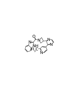 Cc1cc(-c2nccnc2C2CN(C(=O)c3nc4ccccc4[nH]3)C2)ccn1